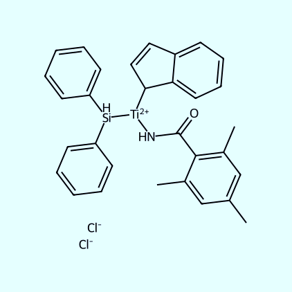 Cc1cc(C)c(C(=O)[NH][Ti+2]([CH]2C=Cc3ccccc32)[SiH](c2ccccc2)c2ccccc2)c(C)c1.[Cl-].[Cl-]